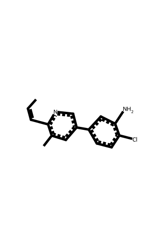 C/C=C\c1ncc(-c2ccc(Cl)c(N)c2)cc1C